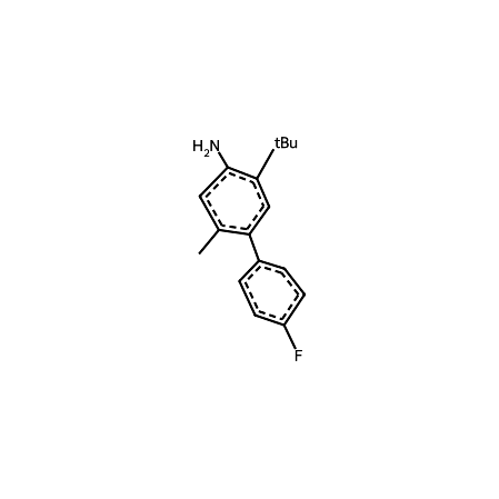 Cc1cc(N)c(C(C)(C)C)cc1-c1ccc(F)cc1